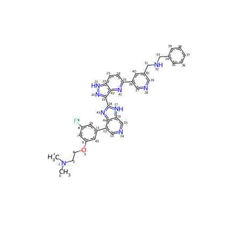 CN(C)CCOc1cc(F)cc(-c2cncc3[nH]c(-c4n[nH]c5ccc(-c6cncc(CNCc7ccccc7)c6)nc45)nc23)c1